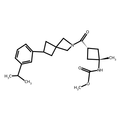 COC(=O)N[C@]1(C)C[C@H](C(=O)N2CC3(CC(c4cccc(C(C)C)c4)C3)C2)C1